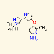 [2H]C([2H])([2H])n1cc(-c2cc(Oc3ccc(N)nc3C)ccn2)cn1